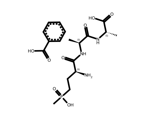 C[C@H](NC(=O)[C@H](C)NC(=O)[C@@H](N)CCP(C)(=O)O)C(=O)O.O=C(O)c1ccccc1